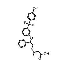 COc1ccc(C(F)(F)c2cccc(OC(CCN(C)CC(=O)O)c3ccccc3)c2)cc1